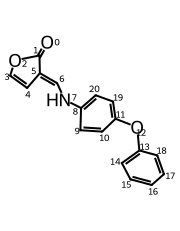 O=C1OC=CC1=CNc1ccc(Oc2ccccc2)cc1